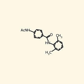 CC(=O)Nc1ccc(C(=O)Nc2c(C)cccc2C)cc1